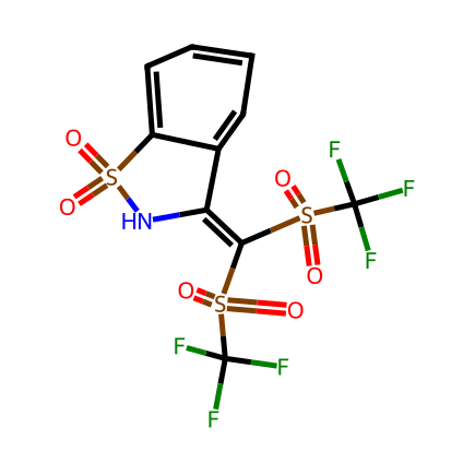 O=S1(=O)NC(=C(S(=O)(=O)C(F)(F)F)S(=O)(=O)C(F)(F)F)c2ccccc21